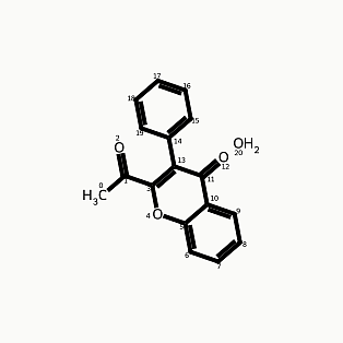 CC(=O)c1oc2ccccc2c(=O)c1-c1ccccc1.O